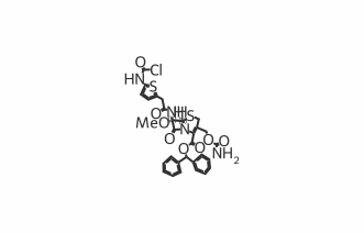 CO[C@@]1(NC(=O)Cc2ccc(NC(=O)Cl)s2)C(=O)N2C(C(=O)OC(c3ccccc3)c3ccccc3)=C(COC(N)=O)CS[C@H]21